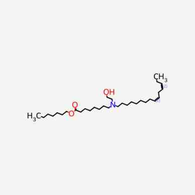 CC/C=C\C/C=C\CCCCCCCCN(CCO)CCCCCCCC(=O)OCCCCCCC